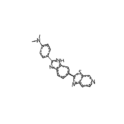 CN(C)c1ccc(-c2nc3ccc(-c4nc5ccncc5s4)cc3[nH]2)cc1